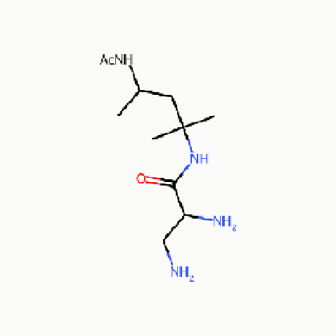 CC(=O)NC(C)CC(C)(C)NC(=O)C(N)CN